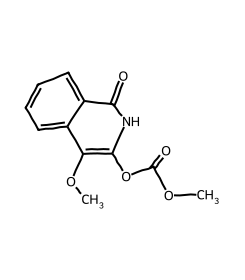 COC(=O)Oc1[nH]c(=O)c2ccccc2c1OC